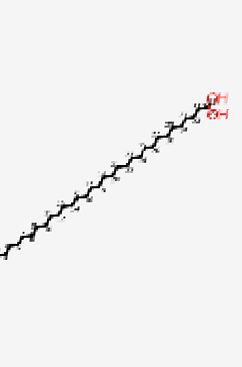 OCC(O)CCCCCCCCCCCCCCCCCCCCCCCCCCCCCCC(O)O